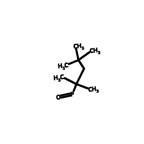 CC(C)(C)CC(C)(C)P=O